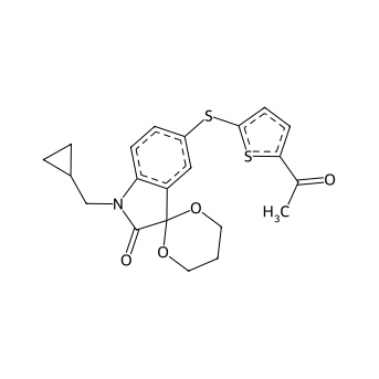 CC(=O)c1ccc(Sc2ccc3c(c2)C2(OCCCO2)C(=O)N3CC2CC2)s1